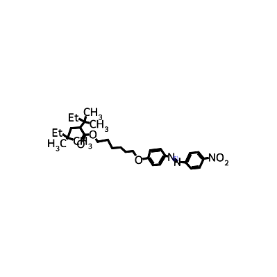 CCC(C)(C)CC(C(=O)OCCCCCCOc1ccc(/N=N/c2ccc([N+](=O)[O-])cc2)cc1)C(C)(C)CC